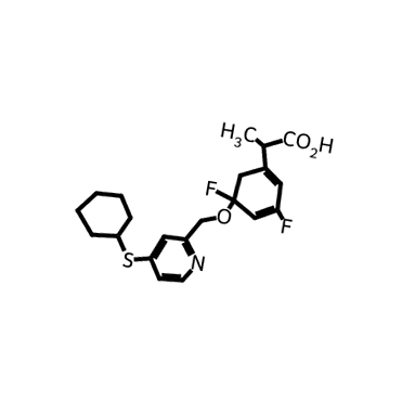 CC(C(=O)O)C1=CC(F)=CC(F)(OCc2cc(SC3CCCCC3)ccn2)C1